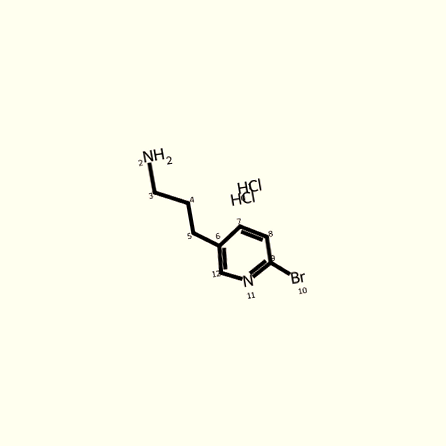 Cl.Cl.NCCCc1ccc(Br)nc1